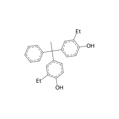 CCc1cc(C(C)(c2ccccc2)c2ccc(O)c(CC)c2)ccc1O